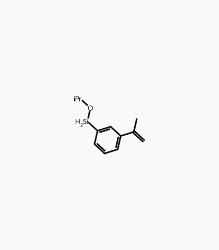 C=C(C)c1cccc([SiH2]OC(C)C)c1